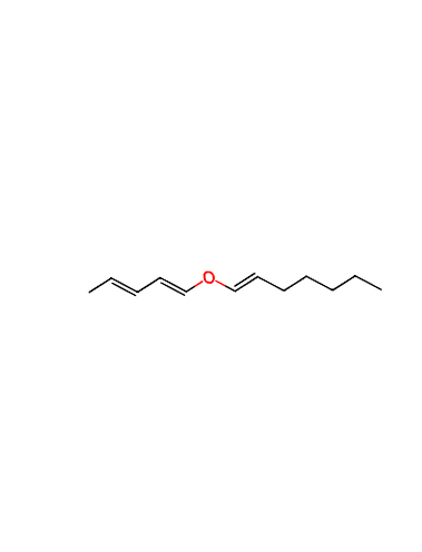 CC=CC=COC=CCCCCC